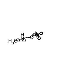 CCOCCNC(=O)CCCCCOc1ccc2nc(-c3ccccc3)n(-c3ccccc3)c2c1